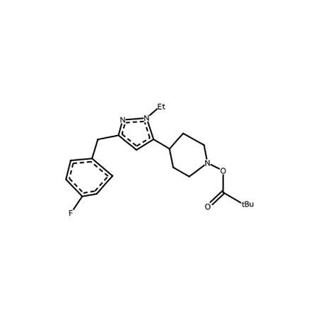 CCn1nc(Cc2ccc(F)cc2)cc1C1CCN(OC(=O)C(C)(C)C)CC1